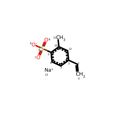 C=Cc1ccc(S(=O)(=O)[O-])c(C)c1.[Na+]